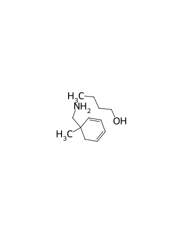 CC1(CN)C=CC=CC1.CCCCO